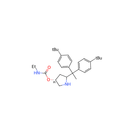 CCNC(=O)O[C@H]1CNC(C(C)(c2ccc(C(C)(C)C)cc2)c2ccc(C(C)(C)C)cc2)C1